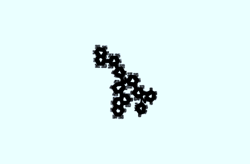 c1ccc(-n2c3ccccc3c3cc(-c4cccc(N(c5ccc(-c6cccc(-c7cccc8ccccc78)c6)cc5)c5cccc(-c6cccc7c6ccc6ccccc67)c5)c4)ccc32)cc1